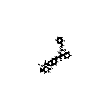 CNC(=O)C1(N2CC3(CC3)CNC2=O)Cc2ccc(NC(=O)[C@@H](NC(=O)OCc3ccccc3)C3CCCCC3)cc2C1